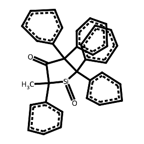 CC1(c2ccccc2)C(=O)C(c2ccccc2)(c2ccccc2)C(c2ccccc2)(c2ccccc2)[Si]1=O